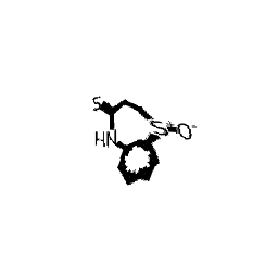 [O-][S+]1CCC(=S)Nc2ccccc21